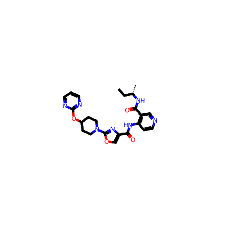 CC[C@H](C)NC(=O)c1cnccc1NC(=O)c1coc(N2CCC(Oc3ncccn3)CC2)n1